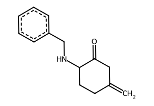 C=C1CCC(NCc2ccccc2)C(=O)C1